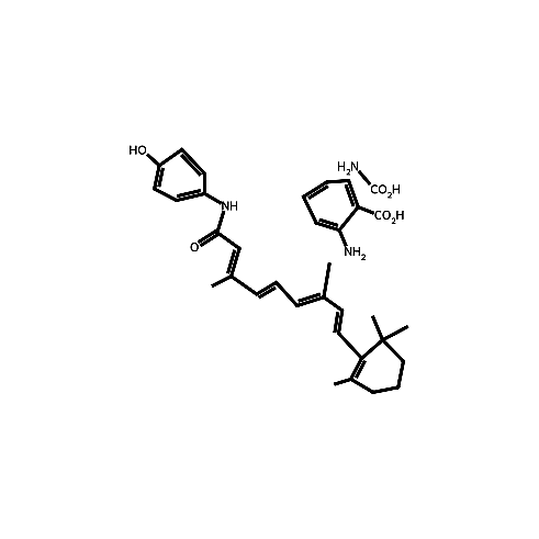 CC(C=CC1=C(C)CCCC1(C)C)=CC=CC(C)=CC(=O)Nc1ccc(O)cc1.NC(=O)O.Nc1ccccc1C(=O)O